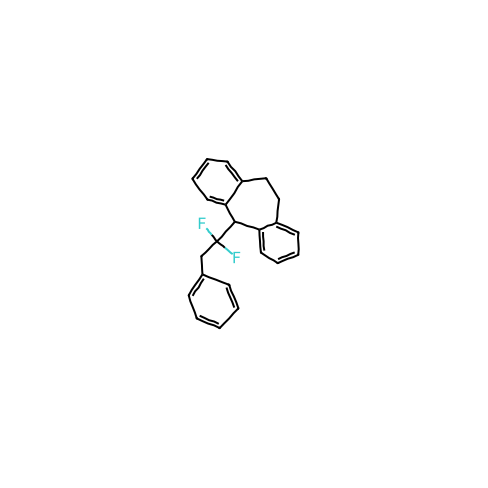 FC(F)(Cc1ccccc1)C1c2ccccc2CCc2ccccc21